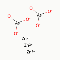 [O-][As]([O-])[O-].[O-][As]([O-])[O-].[Zn+2].[Zn+2].[Zn+2]